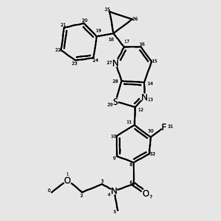 COCCN(C)C(=O)c1ccc(-c2nc3ccc(C4(c5ccccc5)CC4)nc3s2)c(F)c1